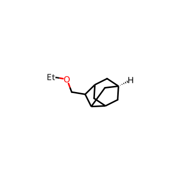 CCOCC1C2CC3C[C@H](C2)CC31